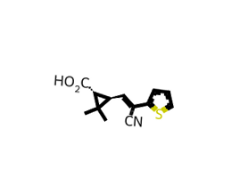 CC1(C)[C@H](/C=C(\C#N)c2cccs2)[C@H]1C(=O)O